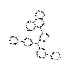 c1ccc(-c2ccc(N(c3cccc(-c4ccccc4)c3)c3cccc(-c4cc5ccccc5c5ccccc45)c3)cc2)cc1